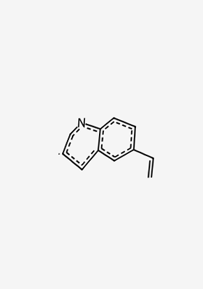 C=Cc1ccc2nc[c]cc2c1